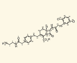 NCCNC(=O)C[n+]1ccc(SCC2=C(C(=O)O)N3C(=O)[C@H](NC(=O)CSc4cc(Cl)ccc4Cl)[C@H]3SC2)cc1